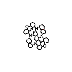 c1ccc(-n2c3cccc4oc5cccc6c5p(c43)c3c2cc2c(cc4c5c2n(-c2ccccc2)c2cccc7oc8cccc(c8p5c72)n4-c2ccccc2)c3n6-c2ccccc2)cc1